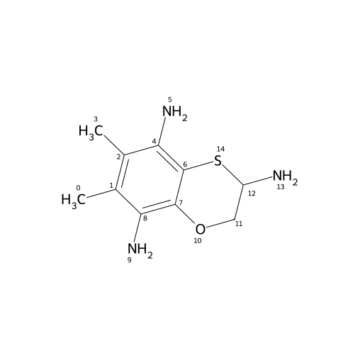 Cc1c(C)c(N)c2c(c1N)OCC(N)S2